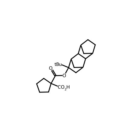 CC(C)(C)C1(OC(=O)C2(C(=O)O)CCCC2)CC2CC1C1C3CCC(C3)C21